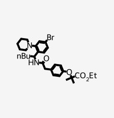 CCCCC(NC(=O)Cc1ccc(OC(C)(C)C(=O)OCC)cc1)c1ccc(Br)cc1N1CCCCC1